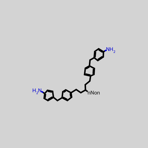 CCCCCCCCCC(CCc1ccc(Cc2ccc(N)cc2)cc1)CCc1ccc(Cc2ccc(N)cc2)cc1